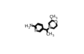 CC(c1ccc(N)nc1)N1CCO[C@@H](C)C1